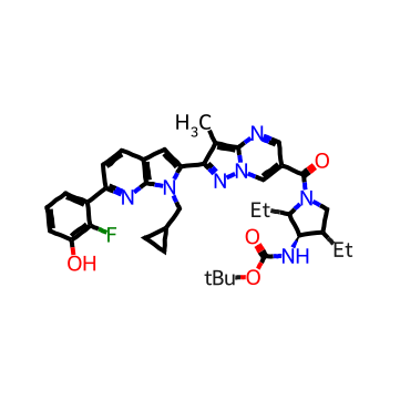 CCC1CN(C(=O)c2cnc3c(C)c(-c4cc5ccc(-c6cccc(O)c6F)nc5n4CC4CC4)nn3c2)C(CC)[C@@H]1NC(=O)OC(C)(C)C